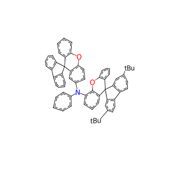 CC(C)(C)c1ccc2c(c1)C1(c3ccccc3Oc3c(N(c4ccccc4)c4ccc5c(c4)C4(c6ccccc6O5)c5ccccc5-c5ccccc54)cccc31)c1cc(C(C)(C)C)ccc1-2